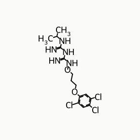 CC(C)NC(=N)NC(=N)NOCCCOc1cc(Cl)c(Cl)cc1Cl